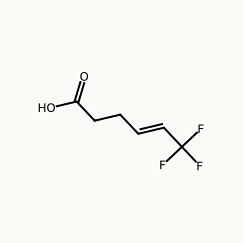 O=C(O)CCC=CC(F)(F)F